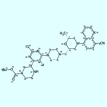 C[C@@H]1CN(c2ccc(C#N)c3ncccc23)C[C@H](CN2CCN(c3nc(Cl)nc(C4CN(C(=O)OC(C)(C)C)CCN4)c3F)CC2)O1